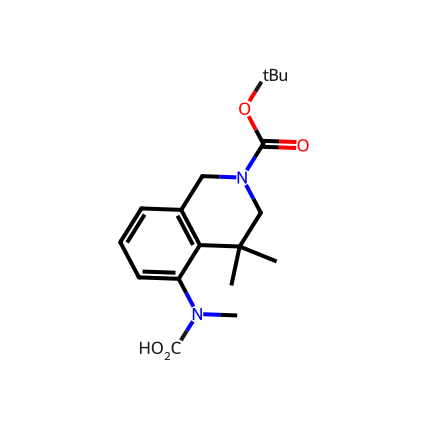 CN(C(=O)O)c1cccc2c1C(C)(C)CN(C(=O)OC(C)(C)C)C2